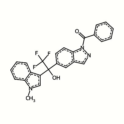 Cn1cc(C(O)(c2ccc3c(cnn3C(=O)c3ccccc3)c2)C(F)(F)F)c2ccccc21